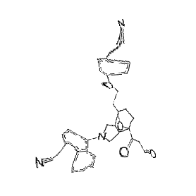 N#Cc1ccc(OCCC23CCC(C(=O)CC=O)(O2)C2CN(c4ccc(C#N)c5ccccc45)CC23)cc1